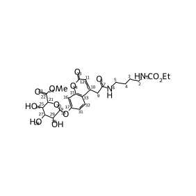 CCOC(=O)NCCCCNC(=O)Cc1cc(=O)oc2cc(OC3OC(C(=O)OC)C(O)C(O)C3O)ccc12